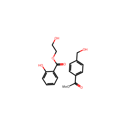 COC(=O)c1ccc(CO)cc1.O=C(OCCO)c1ccccc1O